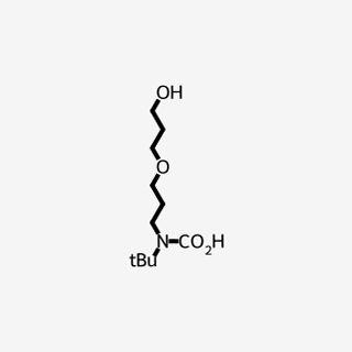 CC(C)(C)N(CCCOCCCO)C(=O)O